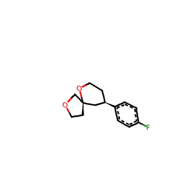 Fc1ccc([C@@H]2CCO[C@]3(CCOC3)C2)cc1